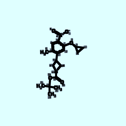 Cc1cc([N+](=O)[O-])c(OC2CC2)cc1C1CN(C(=O)OC(C)(C)C)C1